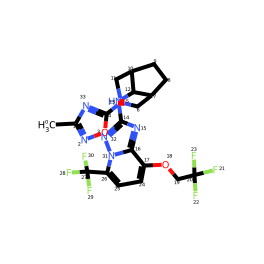 Cc1noc(N2CC3CCC(C2)C3Nc2nc3c(OCC(F)(F)F)ccc(C(F)(F)F)n3n2)n1